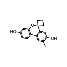 Cc1cc2c(cc1O)C1(CCC1)Oc1cc(O)ccc1-2